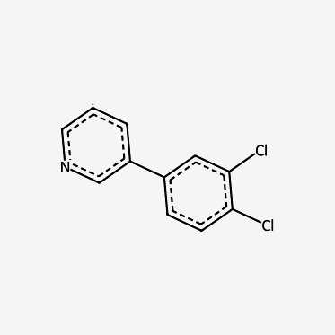 Clc1ccc(-c2c[c]cnc2)cc1Cl